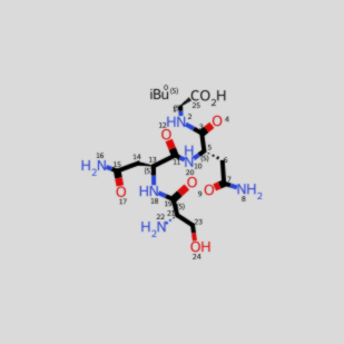 CC[C@H](C)[C@H](NC(=O)[C@H](CC(N)=O)NC(=O)[C@H](CC(N)=O)NC(=O)[C@@H](N)CO)C(=O)O